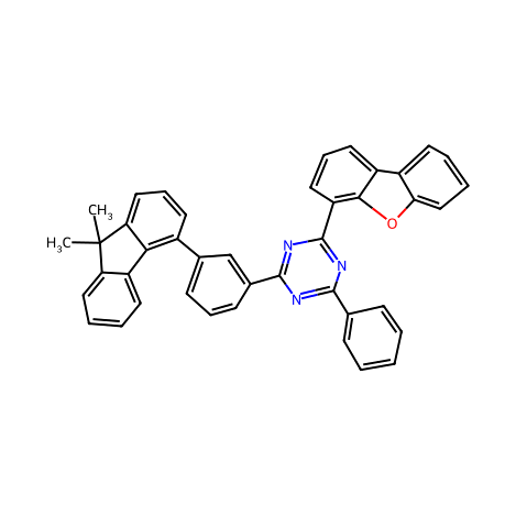 CC1(C)c2ccccc2-c2c(-c3cccc(-c4nc(-c5ccccc5)nc(-c5cccc6c5oc5ccccc56)n4)c3)cccc21